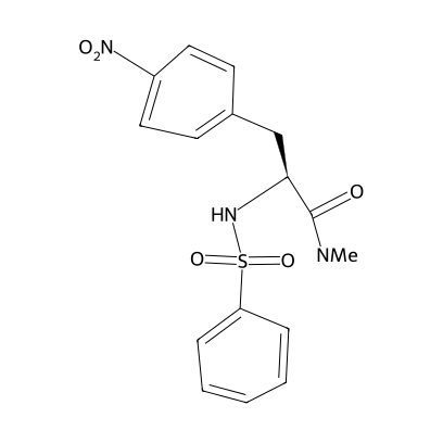 CNC(=O)[C@H](Cc1ccc([N+](=O)[O-])cc1)NS(=O)(=O)c1ccccc1